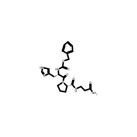 NC(=O)CCNC(=O)[C@@H]1CCCN1C(=O)[C@H](Cc1c[nH]cn1)NC(=O)OCc1ccccc1